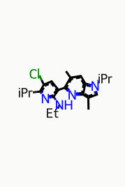 CCNc1nc(C(C)C)c(Cl)cc1-c1nc2c(C)cn(C(C)C)c2cc1C